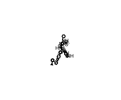 O=C(NS(=O)(=O)c1cc([N+](=O)[O-])c(NCC2CCCCC2)cn1)c1ccc(N2CCC3(CC2)CC(N2CCCC2c2ccccc2C2CC2)C3)cc1-n1ncc2nc3[nH]ccc3cc21